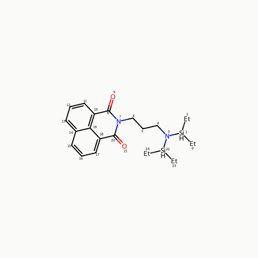 CC[SiH](CC)N(CCCN1C(=O)c2cccc3cccc(c23)C1=O)[SiH](CC)CC